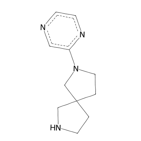 c1cnc(N2CCC3(CCNC3)C2)cn1